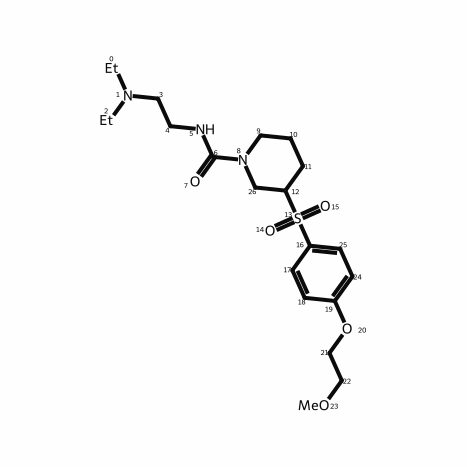 CCN(CC)CCNC(=O)N1CCCC(S(=O)(=O)c2ccc(OCCOC)cc2)C1